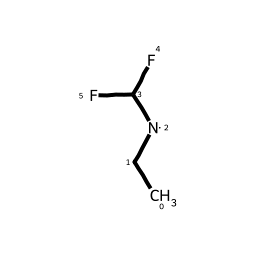 CC[N]C(F)F